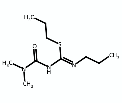 CCCN=C(NC(=O)N(C)C)SCCC